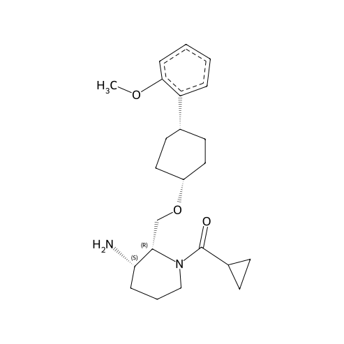 COc1ccccc1[C@H]1CC[C@@H](OC[C@H]2[C@@H](N)CCCN2C(=O)C2CC2)CC1